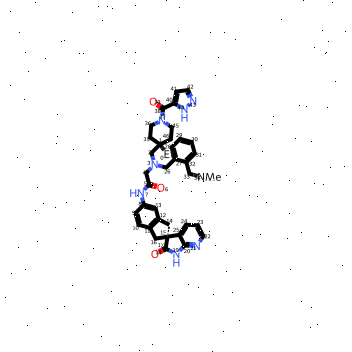 CCC1(CN(CC(=O)Nc2ccc3c(c2)C[C@@]2(C3)C(=O)Nc3ncccc32)Cc2ccccc2CNC)CCN(C(=O)c2ccn[nH]2)CC1